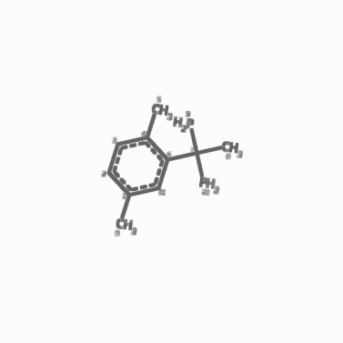 Cc1ccc(C)c(C(C)(P)P)c1